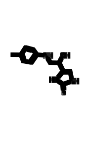 Cc1ccc(NCC(O)c2c[nH]c(=S)[nH]2)cc1